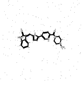 CN1CCN(C(=O)c2ccc(-c3ccc(/C=C4/C(=O)Nc5ccccc54)o3)cn2)CC1